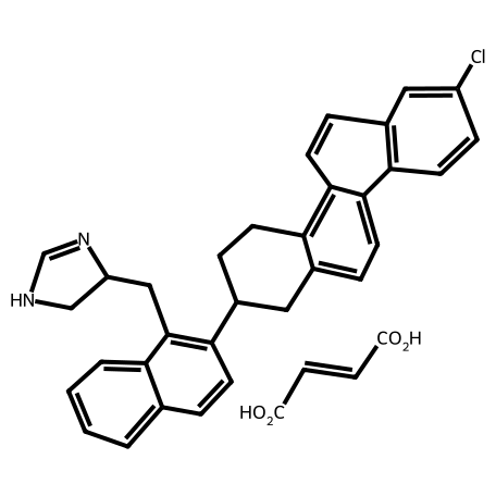 Clc1ccc2c(ccc3c4c(ccc32)CC(c2ccc3ccccc3c2CC2CNC=N2)CC4)c1.O=C(O)/C=C/C(=O)O